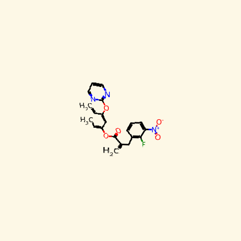 C=C/C(=C\C(=C/C)OC(=O)C(=C)Cc1cccc([N+](=O)[O-])c1F)Oc1ncccn1